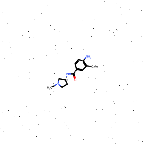 COc1cc(C(=O)N[C@@H]2CCN(C)C2)ccc1N